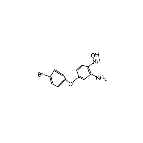 Nc1cc(Oc2ccc(Br)cc2)ccc1NO